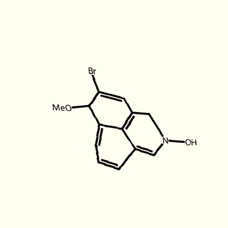 COC1C(Br)=CC2=c3c1cccc3=CN(O)C2